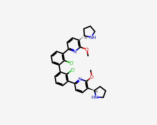 COc1nc(-c2cccc(-c3cccc(-c4ccc([C@H]5CCCN5)c(OC)n4)c3Cl)c2Cl)ccc1[C@@H]1CCCN1